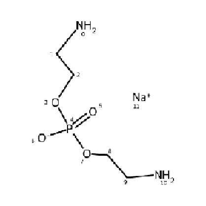 NCCOP(=O)([O-])OCCN.[Na+]